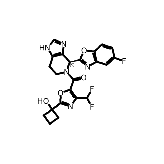 O=C(c1oc(C2(O)CCC2)nc1C(F)F)N1CCc2[nH]cnc2[C@H]1c1nc2cc(F)ccc2o1